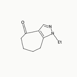 CCn1ncc2c1CCCCC2=O